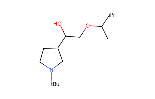 CC(C)C(C)OCC(O)C1CCN(C(C)(C)C)C1